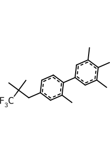 Cc1cc(CC(C)(C)C(F)(F)F)ccc1-c1cc(C)c(C)c(C)c1